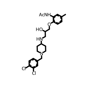 CC(=O)Nc1cc(C)ccc1OCC(O)CNC1CCN(Cc2ccc(Cl)c(Cl)c2)CC1